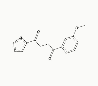 COc1cccc(C(=O)CCC(=O)c2cccs2)c1